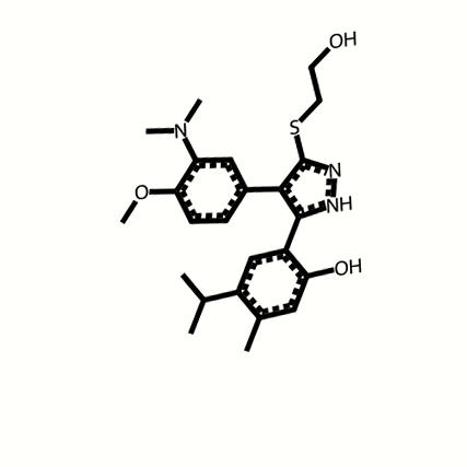 COc1ccc(-c2c(SCCO)n[nH]c2-c2cc(C(C)C)c(C)cc2O)cc1N(C)C